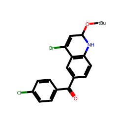 CC(C)(C)OC1C=C(Br)c2cc(C(=O)c3ccc(Cl)cc3)ccc2N1